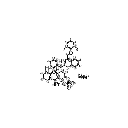 Cc1cccc(C)c1OCC(=O)N[C@@H](Cc1ccccc1)C(c1ccccc1)C(CCOP(=O)([O-])[O-])NC(=O)[C@H](C(C)C)N1CCCNC1=O.[Na+].[Na+]